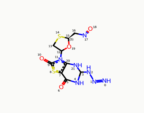 N=NNC1NC(=O)c2sc(=O)n(C3CS[C@@H](CN=O)O3)c2N1